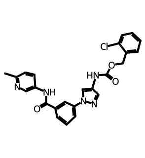 Cc1ccc(NC(=O)c2cccc(-n3cc(NC(=O)OCc4ccccc4Cl)cn3)c2)cn1